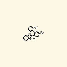 Brc1ccc(-c2nc3ccccc3[nH]2)c(-c2ccccc2Br)c1